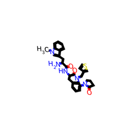 Cn1cc(CC(N)C(=O)NC2Cc3cccc(N4CCCC4=O)c3N(Cc3ccsc3)C2=O)c2ccccc21